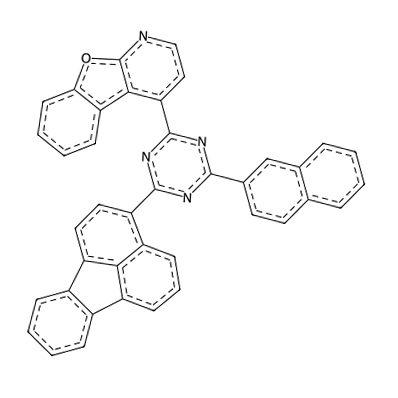 c1ccc2c(c1)-c1cccc3c(-c4nc(-c5ccc6ccccc6c5)nc(-c5ccnc6oc7ccccc7c56)n4)ccc-2c13